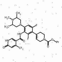 CC(C)OC(=O)N1CC=C(c2c(F)cc(N3CC(C)N(C)C(C)C3)c(NC(=O)c3c[nH]c(=O)cc3C(F)(F)F)c2F)CC1